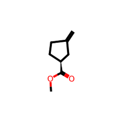 C=C1CC[C@H](C(=O)OC)C1